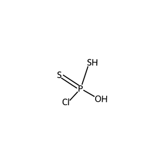 OP(=S)(S)Cl